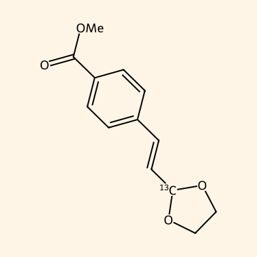 COC(=O)c1ccc(C=C[13CH]2OCCO2)cc1